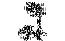 CCC(=O)N[C@H]1C([C@H](O)[C@H](O)CO)O[C@@](O[C@@H]2C(O)[C@H](O[C@@H]3C(CO)OC(OCCn4cc(CCC(=O)NCCO[C@H]5OC(CO[C@@H]6OC(CO)[C@@H](OP(=O)(O)O)[C@H](OC(=O)C[C@@H](CC)OC(=O)CC)C6NC(=O)C[C@@H](CC)OC(=O)CC)[C@@H](O)[C@H](OC(=O)C[C@H](O)CC)C5NC(=O)C[C@H](O)CC)nn4)[C@@H](O)[C@H]3O)OC(CO)[C@@H]2O)(C(=O)O)C[C@H]1O